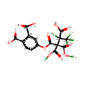 O=C(O)c1ccc(OC(=O)C(C(=O)OF)(C(=O)OF)C(F)(C(=O)O)C(F)(F)F)cc1C(=O)O